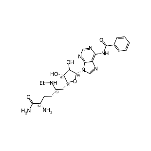 CCN[C@@H](CC[C@H](N)C(N)=O)C[C@H]1O[C@@H](n2cnc3c(NC(=O)c4ccccc4)ncnc32)C(O)[C@H]1O